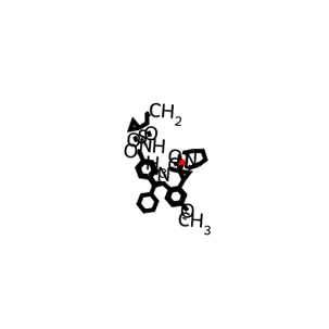 C=CCC1(S(=O)(=O)NC(=O)c2ccc3c(C4CCCCC4)c4n(c3c2)CC2(C(=O)N3C5CCC3CN(C)C5)CC2c2cc(OC)ccc2-4)CC1